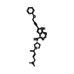 C=C(/C=C/CN(C)C)N1CC[C@@H](Nc2ncnc3[nH]c(C#CCOc4ccccc4)cc23)C1